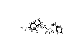 CCCc1ccccc1OCC(O)COc1cccc2oc(C(=O)OCC)cc(=O)c12